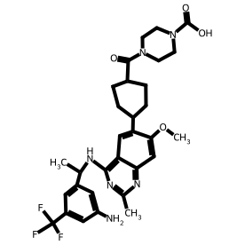 COc1cc2nc(C)nc(NC(C)c3cc(N)cc(C(F)(F)F)c3)c2cc1C1CCC(C(=O)N2CCN(C(=O)O)CC2)CC1